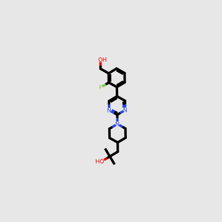 CC(C)(O)CC1CCN(c2ncc(-c3cccc(CO)c3F)cn2)CC1